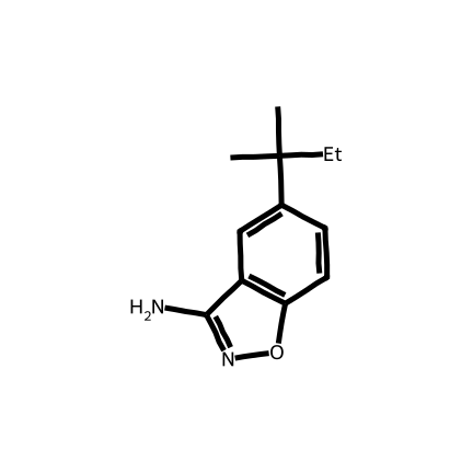 CCC(C)(C)c1ccc2onc(N)c2c1